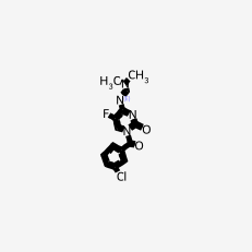 CN(C)/C=N/c1nc(=O)n(C(=O)c2cccc(Cl)c2)cc1F